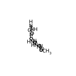 Cc1cccc(-c2nccc(Nc3ccnc(Nc4ccc(CN5CCCC(C(=O)NC6CNC6)C5)cc4)n3)n2)n1